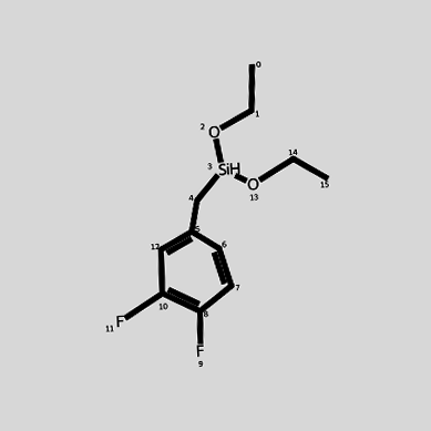 CCO[SiH](Cc1ccc(F)c(F)c1)OCC